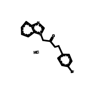 Cl.O=C(CCc1ccc(Br)cc1)Cn1cnc2ccccc21